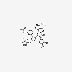 COc1ccc([C@@H](Nc2ccc3c(N)nccc3c2)C(=O)N2CCCC2c2cccc(NC(C)=O)c2)cc1OC.O=C(O)C(F)(F)F